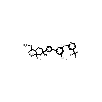 COC(=O)C1CCC(O)(c2ncc(-c3cc(N)cc(Nc4cc(C(F)(F)F)ccn4)n3)s2)CC1(C)C